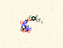 O=C1CO[C@H]2CCN(C(=O)N3CC(OCc4cc(C(F)(F)F)c(F)cc4F)C3)C[C@H]2N1